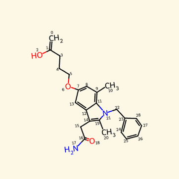 C=C(O)CCCOc1cc(C)c2c(c1)c(CC(N)=O)c(C)n2Cc1ccccc1